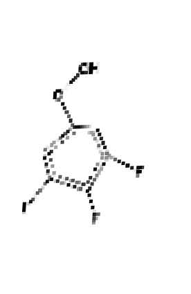 OOc1cc(F)c(F)c(F)c1